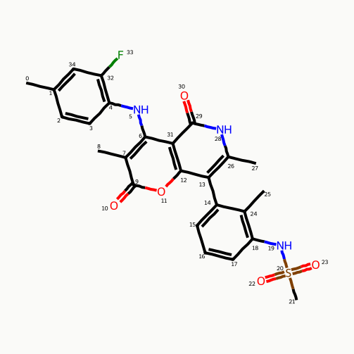 Cc1ccc(Nc2c(C)c(=O)oc3c(-c4cccc(NS(C)(=O)=O)c4C)c(C)[nH]c(=O)c23)c(F)c1